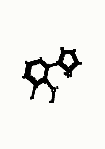 COc1c(C)cccc1-c1ncc[nH]1